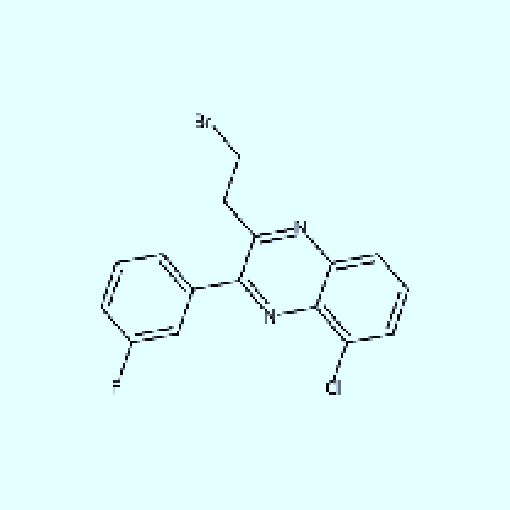 Fc1cccc(-c2nc3c(Cl)cccc3nc2CCBr)c1